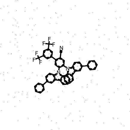 N#Cc1cc(-n2c3ccccc3c3cc(-c4ccccc4)ccc32)c(-n2c3ccccc3c3cc(-c4ccccc4)ccc32)cc1-c1cc(C(F)(F)F)cc(C(F)(F)F)c1